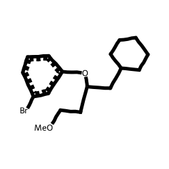 COCCC(CC1CCCCC1)Oc1cccc(Br)c1